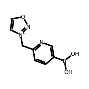 OB(O)c1ccc(C[n+]2c[c]on2)nc1